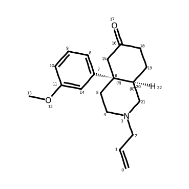 C=CCN1CC[C@@]2(c3cccc(OC)c3)CC(=O)CC[C@H]2C1